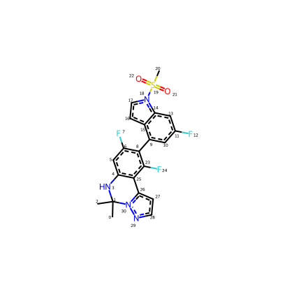 CC1(C)Nc2cc(F)c(-c3cc(F)cc4c3ccn4S(C)(=O)=O)c(F)c2-c2ccnn21